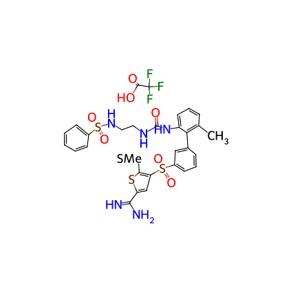 CSc1sc(C(=N)N)cc1S(=O)(=O)c1cccc(-c2c(C)cccc2NC(=O)NCCNS(=O)(=O)c2ccccc2)c1.O=C(O)C(F)(F)F